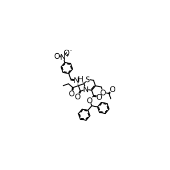 CCC(=O)[C@]1(N=Cc2ccc([N+](=O)[O-])cc2)C(=O)N2C(C(=O)OC(c3ccccc3)c3ccccc3)=C(COC(C)=O)CS[C@@H]21